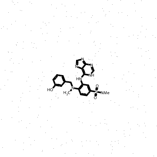 CNS(=O)(=O)c1ccc(N(C)Cc2cccc(O)c2)c(Nc2[nH]cnc3ncnc2-3)c1